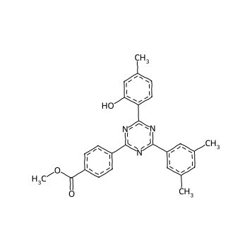 COC(=O)c1ccc(-c2nc(-c3cc(C)cc(C)c3)nc(-c3ccc(C)cc3O)n2)cc1